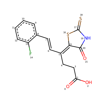 O=C(O)CCC(C=Cc1ccccc1F)=C1SC(=S)NC1=O